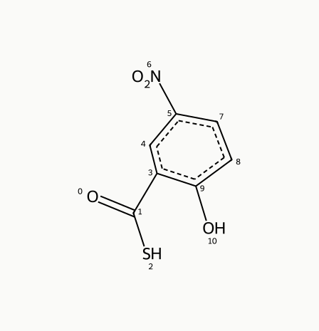 O=C(S)c1cc([N+](=O)[O-])ccc1O